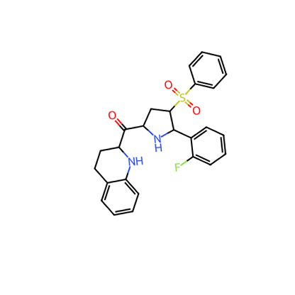 O=C(C1CCc2ccccc2N1)C1CC(S(=O)(=O)c2ccccc2)C(c2ccccc2F)N1